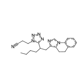 CCCCC(Cc1ncn2c1CCc1ccccc1-2)c1nnnn1CCC#N